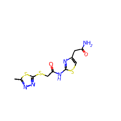 Cc1nnc(SCC(=O)Nc2nc(CC(N)=O)cs2)s1